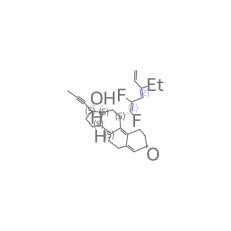 C=C/C(=C\C(F)=C(/F)[C@H]1C[C@@]2(C)[C@@H](CC[C@@]2(O)C#CC)[C@@H]2CCC3=CC(=O)CCC3=C21)CC